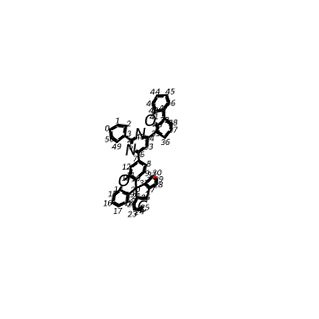 c1ccc(-c2nc(-c3ccc4c(c3)Oc3ccccc3C43c4ccccc4-c4ccccc43)cc(-c3cccc4c3oc3ccccc34)n2)cc1